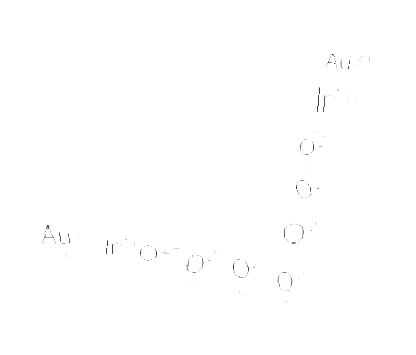 [Au+3].[Au+3].[Ir+4].[Ir+4].[O-2].[O-2].[O-2].[O-2].[O-2].[O-2].[O-2]